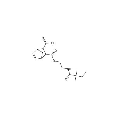 CCC(C)(C)C(=O)NCCOC(=O)C1C2C=CC(C2)C1C(=O)O